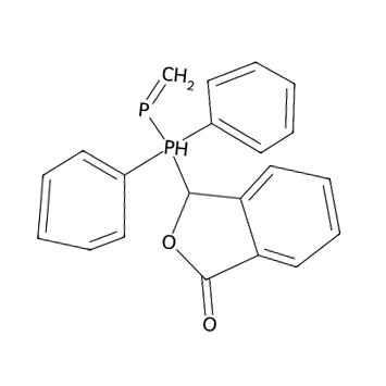 C=P[PH](c1ccccc1)(c1ccccc1)C1OC(=O)c2ccccc21